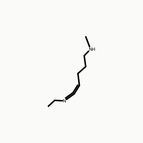 CCN=C=CCCCNC